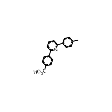 Cc1ccc(-c2cccc(-c3ccc(C(=O)O)cc3)n2)cc1